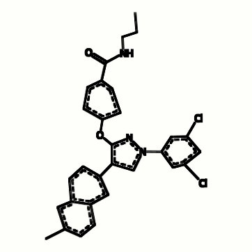 CCCNC(=O)c1ccc(Oc2nn(-c3cc(Cl)cc(Cl)c3)cc2-c2ccc3cc(C)ccc3c2)cc1